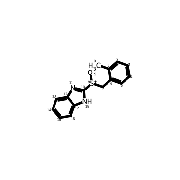 Cc1ccccc1C[S+]([O-])c1nc2ccccc2[nH]1